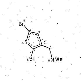 CNCc1cc(Br)sc1Br